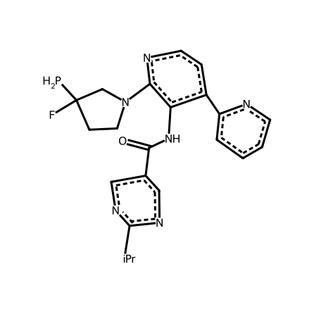 CC(C)c1ncc(C(=O)Nc2c(-c3ccccn3)ccnc2N2CCC(F)(P)C2)cn1